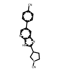 N#Cc1ccc(-c2cnc3[nH]c(C4CCN(C#N)C4)nc3c2)cc1